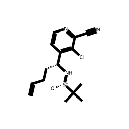 C=CCC[C@@H](N[S@@+]([O-])C(C)(C)C)c1ccnc(C#N)c1Cl